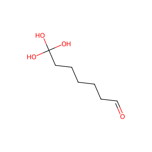 O=CCCCCCC(O)(O)O